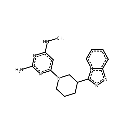 CNc1cc(N2CCCC(c3nnc4ccccn34)C2)nc(N)n1